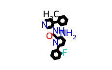 Cc1ccccc1-c1ccncc1NC(=O)c1nc(-c2ccccc2F)ccc1N